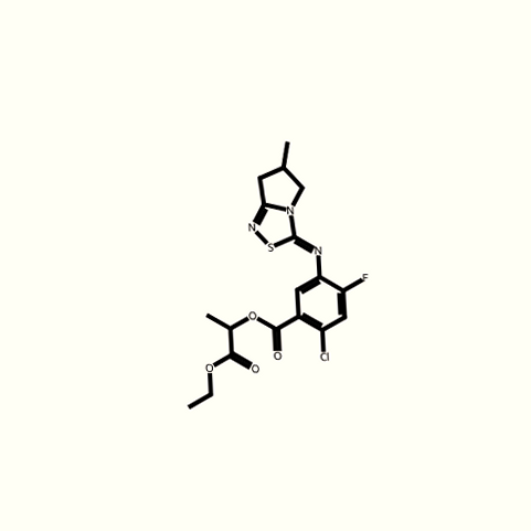 CCOC(=O)C(C)OC(=O)c1cc(N=c2snc3n2CC(C)C3)c(F)cc1Cl